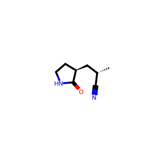 C[C@H](C#N)C[C@@H]1CCNC1=O